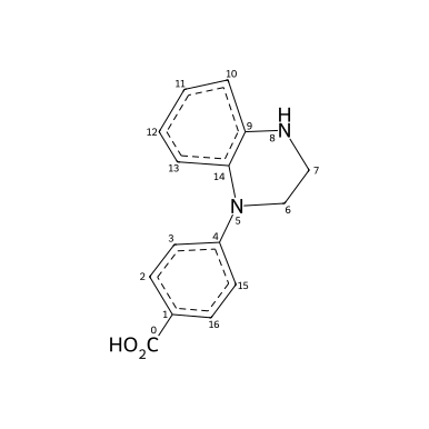 O=C(O)c1ccc(N2CCNc3ccccc32)cc1